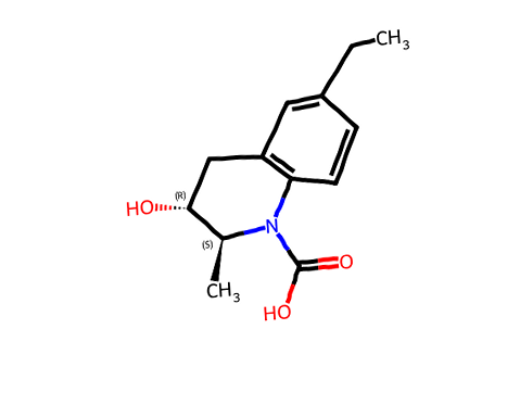 CCc1ccc2c(c1)C[C@@H](O)[C@H](C)N2C(=O)O